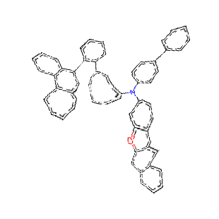 c1ccc(-c2ccc(N(c3cccc(-c4ccccc4-c4cc5ccccc5c5ccccc45)c3)c3ccc4c(c3)oc3cc5ccccc5cc34)cc2)cc1